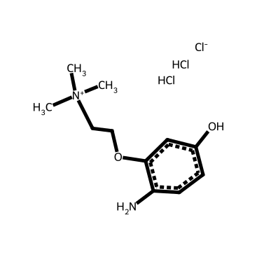 C[N+](C)(C)CCOc1cc(O)ccc1N.Cl.Cl.[Cl-]